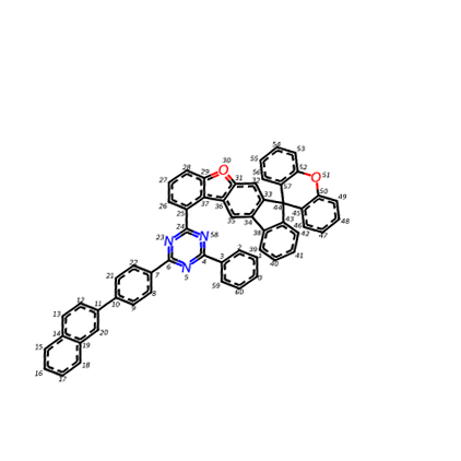 c1ccc(-c2nc(-c3ccc(-c4ccc5ccccc5c4)cc3)nc(-c3cccc4oc5cc6c(cc5c34)-c3ccccc3C63c4ccccc4Oc4ccccc43)n2)cc1